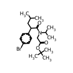 CC(C)CC(C(=O)N(CC(=O)OC(C)(C)C)C(C)C)c1ccc(Br)cc1